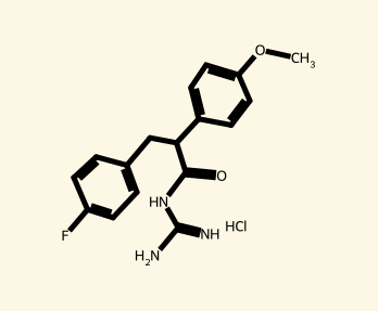 COc1ccc(C(Cc2ccc(F)cc2)C(=O)NC(=N)N)cc1.Cl